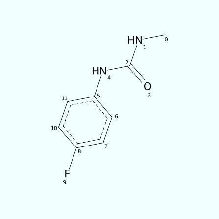 CNC(=O)Nc1ccc(F)cc1